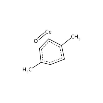 Cc1ccc(C)cc1.[O]=[Ce]